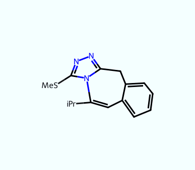 CSc1nnc2n1C(C(C)C)=Cc1ccccc1C2